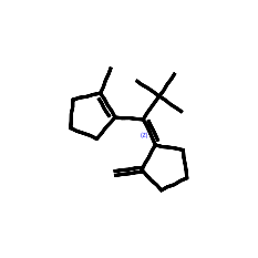 C=C1CCC/C1=C(/C1=C(C)CCC1)C(C)(C)C